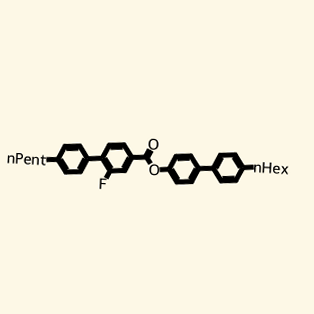 CCCCCCc1ccc(-c2ccc(OC(=O)c3ccc(-c4ccc(CCCCC)cc4)c(F)c3)cc2)cc1